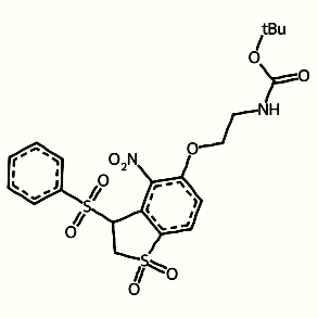 CC(C)(C)OC(=O)NCCOc1ccc2c(c1[N+](=O)[O-])C(S(=O)(=O)c1ccccc1)CS2(=O)=O